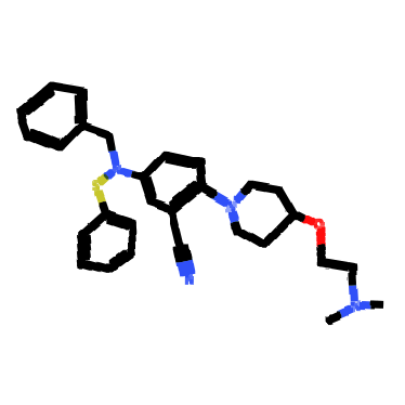 CN(C)CCOC1CCN(c2ccc(N(Cc3ccccc3)Sc3ccccc3)cc2C#N)CC1